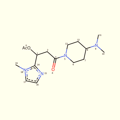 CC(=O)OC(CC(=O)N1CCC(N(C)C)CC1)c1nccn1C